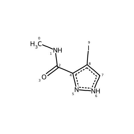 CNC(=O)c1n[nH]cc1I